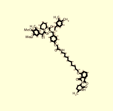 C=C1CCC(N2C(=O)c3cccc(OCCCCCCCCCCNC(=O)COc4ccc([C@@H](CCc5ccc(C)c(C)c5)OC(=O)[C@@H]5CCCCN5C(=O)[C@@H](CC)c5cc(C)c(OC)c(OC)c5)cc4)c3C2=O)C(=O)N1